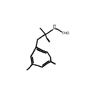 Cc1cc(C)cc(CC(C)(C)NC=O)c1